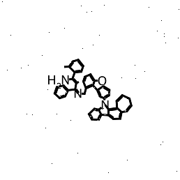 CC(/C(=N\Cc1cccc2oc3ccc(-n4c5ccccc5c5ccc6c(c54)C=CCC=C6)cc3c12)c1ccccc1)=C(/N)c1ccccc1C